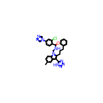 Cc1ccc2c(c1)c(-c1nnn[nH]1)c(CCCc1ccccc1)n2CNC(=O)c1ccc(-n2cnnc2)cc1Cl